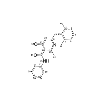 Cc1cccc(Cn2c(C)cc(=O)c(C(=O)Nc3ccccc3)c2C)c1